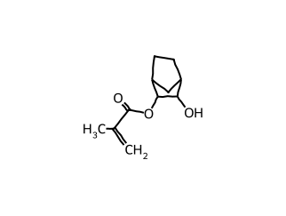 C=C(C)C(=O)OC1C2CCC(C2)C1O